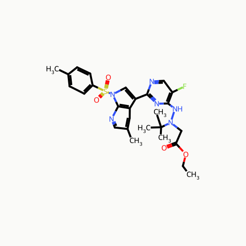 CCOC(=O)CN(Nc1nc(-c2cn(S(=O)(=O)c3ccc(C)cc3)c3ncc(C)cc23)ncc1F)C(C)(C)C